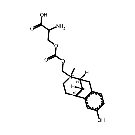 C[N+]1(COC(=O)OCC(N)C(=O)O)CC[C@]23CCCC[C@H]2[C@H]1Cc1ccc(O)cc13